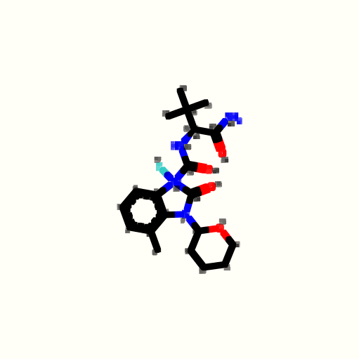 Cc1cccc2c1N(C1CCCCO1)C(=O)[N+]2(F)C(=O)N[C@H](C(N)=O)C(C)(C)C